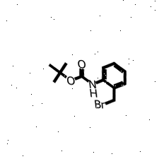 CC(C)(C)OC(=O)Nc1ccccc1CBr